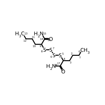 CCCCC(SSSSC(CCCC)C(N)=O)C(N)=O